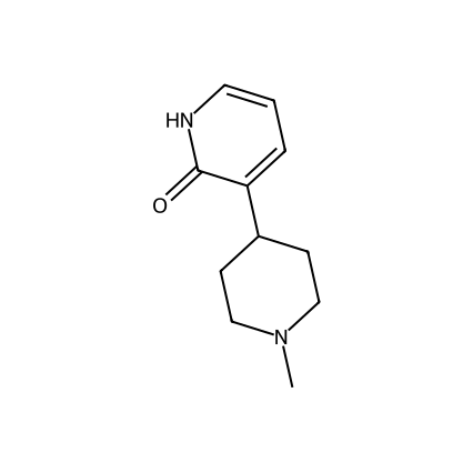 CN1CCC(c2ccc[nH]c2=O)CC1